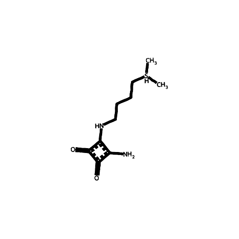 C[SH](C)CCCCNc1c(N)c(=O)c1=O